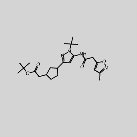 Cc1cc(CC(=O)Nc2cc(C3CCC(CC(=O)OC(C)(C)C)C3)nn2C(C)(C)C)on1